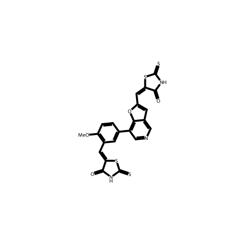 COc1ccc(-c2cncc3cc(C=C4SC(=S)NC4=O)oc23)cc1C=C1SC(=S)NC1=O